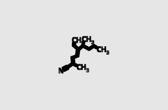 C=C/C(=C\C=C(/C)C#N)C(C)CCC